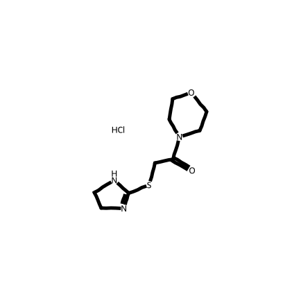 Cl.O=C(CSC1=NCCN1)N1CCOCC1